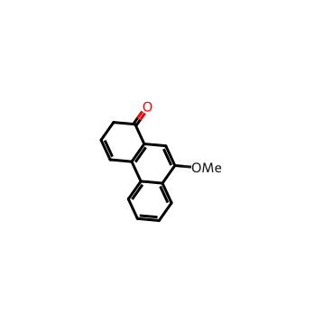 COc1cc2c(c3ccccc13)C=CCC2=O